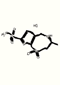 CC1CS(=O)(=O)c2sc(S(N)(=O)=O)cc2CN1.Cl